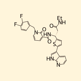 CCNC(=O)C[C@@H](NC(=O)c1cccn(Cc2ccc(F)c(F)c2)c1=O)c1ccc(-c2c[nH]c3ncccc23)s1